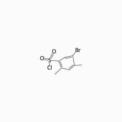 Cc1cc(C)c(S(=O)(=O)Cl)cc1Br